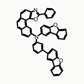 c1ccc(-c2nc3ccc4ccc5ccc(N(c6cccc(-c7ccc8oc9ccccc9c8c7)c6)c6ccc7oc8ccccc8c7c6)cc5c4c3o2)cc1